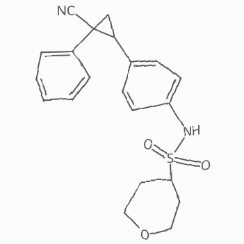 N#CC1(c2ccccc2)CC1c1ccc(NS(=O)(=O)C2CCOCC2)cc1